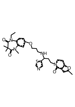 CCN1C(=O)C(C)(C)C(=O)N(C)c2cc(OCCCNC(CCn3ccc4oc(C)cc4c3=O)c3cncs3)ccc21